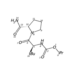 CC(C)OC(=O)N[C@H](C(=O)N1CCC[C@H]1C(N)=O)C(C)(C)C